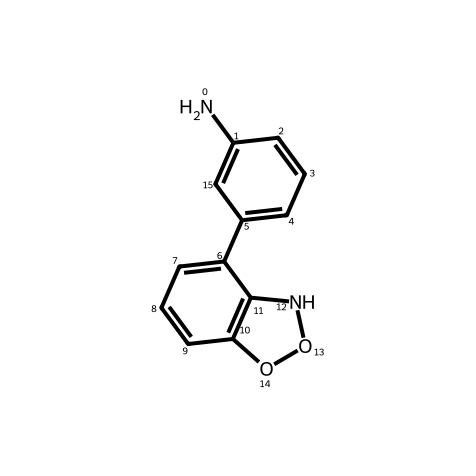 Nc1cccc(-c2cccc3c2NOO3)c1